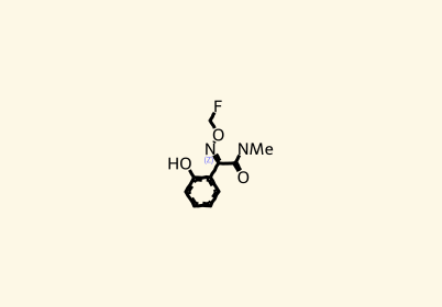 CNC(=O)/C(=N\OCF)c1ccccc1O